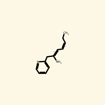 CC/C=C\C=C(/N)Cc1ccccn1